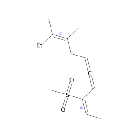 C/C=C(\C=C=CC/C(C)=C(/C)CC)S(C)(=O)=O